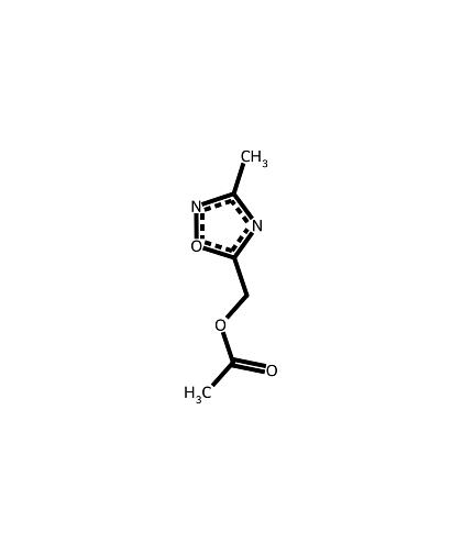 CC(=O)OCc1nc(C)no1